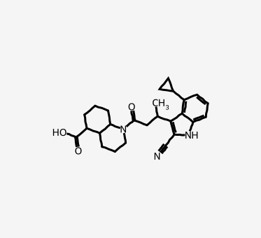 CC(CC(=O)N1CCCC2C(C(=O)O)CCCC21)c1c(C#N)[nH]c2cccc(C3CC3)c12